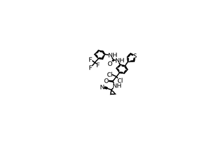 N#CC1(NC(=O)C(Cl)(Cl)c2ccc(-c3ccsc3)c(NC(=O)Nc3cccc(C(F)(F)F)c3)c2)CC1